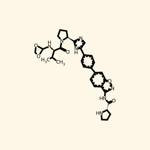 CC(C)[C@@H](NC1OCO1)C(=O)N1CCC[C@H]1c1ncc(-c2ccc(-c3ccc4c(NC(=O)[C@@H]5CCCN5)noc4c3)cc2)[nH]1